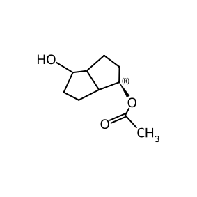 CC(=O)O[C@@H]1CCC2C(O)CCC21